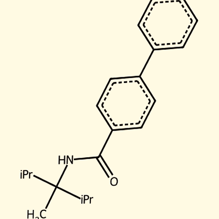 CC(C)C(C)(NC(=O)c1ccc(-c2ccccc2)cc1)C(C)C